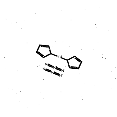 C1=C[CH]([Ti+2][CH]2C=CC=C2)C=C1.[N-]=[N+]=[N-].[N-]=[N+]=[N-]